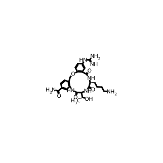 C[C@@H](O)C1NC(=O)[C@H](CCCCN)NC(=O)c2cc(NC(=N)N)ccc2OCc2ccc(C(N)=O)cc2NC1=O